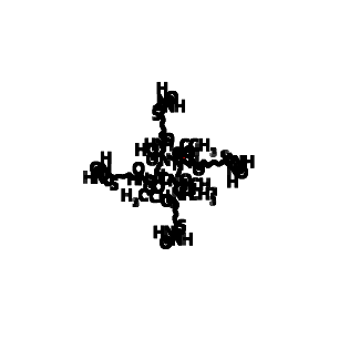 CC(C)OC(=O)C(CNC(=O)CCCCC1SCC2NC(=O)NC21)N1CCN(C(CNC(=O)CCCCC2SCC3NC(=O)NC32)C(=O)O)CCN(C(CNC(=O)CCCCC2SCC3NC(=O)NC32)C(=O)OC(C)C)CCN(C(CNC(=O)CCCCC2SCC3NC(=O)NC32)C(=O)OC(C)C)CC1